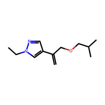 C=C(COCC(C)C)c1cnn(CC)c1